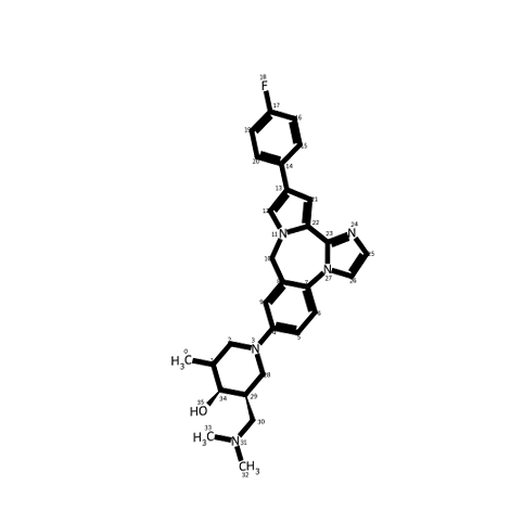 CC1CN(c2ccc3c(c2)Cn2cc(-c4ccc(F)cc4)cc2-c2nccn2-3)C[C@@H](CN(C)C)[C@H]1O